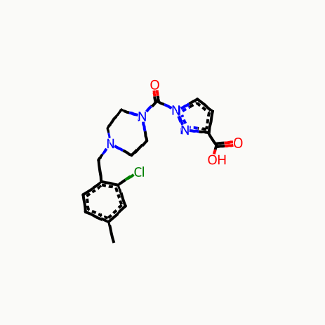 Cc1ccc(CN2CCN(C(=O)n3ccc(C(=O)O)n3)CC2)c(Cl)c1